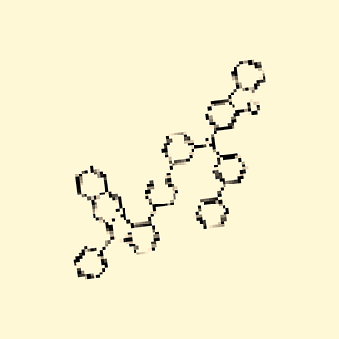 c1ccc(-c2cccc(N(c3cccc(-c4ccc(-c5cccc6c(-c7ccccc7)c7cc8ccccc8cn7c56)cc4)c3)c3ccc4c(c3)oc3ccccc34)c2)cc1